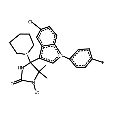 CCN1C(=O)NC(c2cn(-c3ccc(F)cc3)c3ccc(Cl)cc23)(N2CCCCC2)C1(C)C